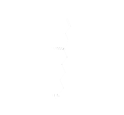 C=CCOC(=O)CCCCCN